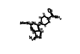 CSc1nc(N2CCN(C(N)=O)CC2)c2cnn(C)c2n1